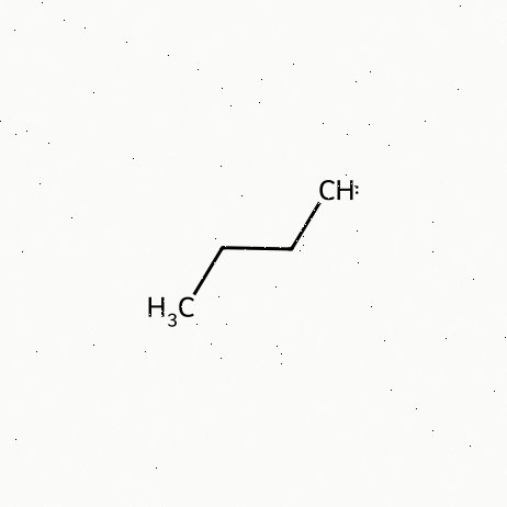 [CH]CCC